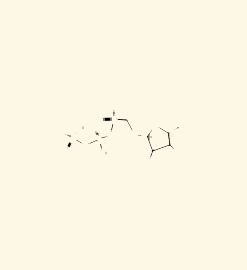 B[C@@H]1O[C@H](OCP(=O)(O)OP(=O)(O)OP(=O)(O)O)C(O)C1O